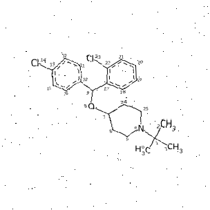 CC(C)(C)N1CCC(OC(c2ccc(Cl)cc2)c2ccccc2Cl)CC1